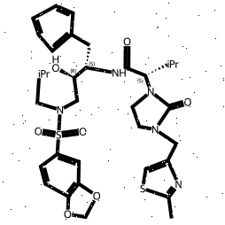 Cc1nc(CN2CCN([C@H](C(=O)N[C@@H](Cc3ccccc3)[C@H](O)CN(CC(C)C)S(=O)(=O)c3ccc4c(c3)OCO4)C(C)C)C2=O)cs1